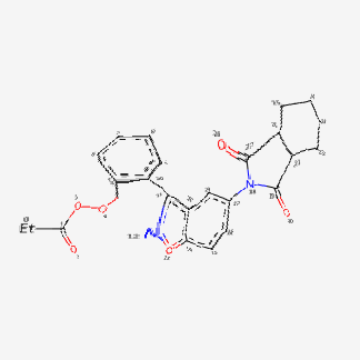 CCC(=O)OOc1ccccc1-c1noc2ccc(N3C(=O)C4CCCCC4C3=O)cc12